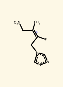 C/C(C[N+](=O)[O-])=C(\F)Cn1cnnc1